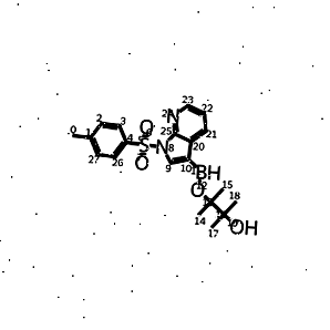 Cc1ccc(S(=O)(=O)n2cc(BOC(C)(C)C(C)(C)O)c3cccnc32)cc1